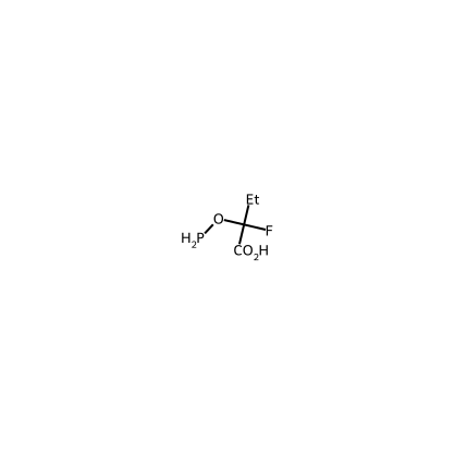 CCC(F)(OP)C(=O)O